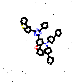 c1ccc(-c2ccc(N(c3ccc(-c4ccccc4)cc3)c3cc(-c4nc(-c5ccccc5)nc(-c5ccc6sc7ccccc7c6c5)n4)cc4oc5ccccc5c34)cc2)cc1